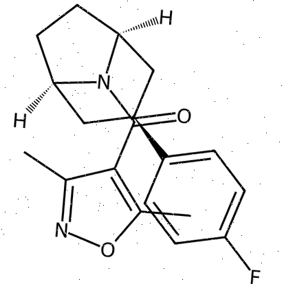 Cc1noc(C)c1C(=O)N1[C@@H]2CC[C@H]1C[C@@H](c1ccc(F)cc1)C2